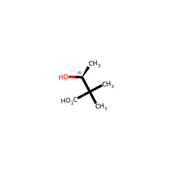 C[C@H](O)C(C)(C)C(=O)O